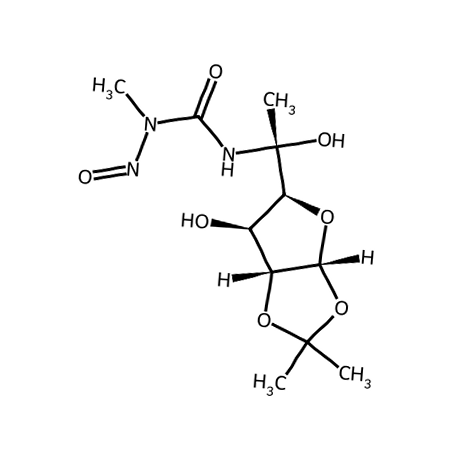 CN(N=O)C(=O)N[C@](C)(O)[C@H]1O[C@@H]2OC(C)(C)O[C@@H]2[C@H]1O